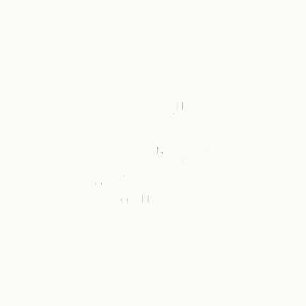 O=C(O)C1=CCS(=O)(=O)[C@@H]2CC(=O)N12